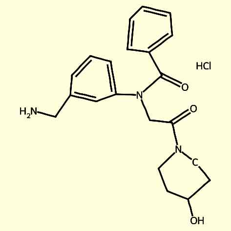 Cl.NCc1cccc(N(CC(=O)N2CCC(O)CC2)C(=O)c2ccccc2)c1